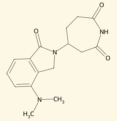 CN(C)c1cccc2c1CN(C1CCC(=O)NC(=O)C1)C2=O